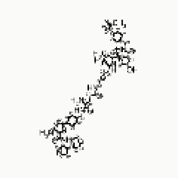 Cc1ncsc1-c1ccc(CNC(=O)[C@@H]2C[C@@H](O)CN2C(=O)C(NC(=O)CCOCCNC(=O)CCC(N)C(=O)NCc2ccc(-c3cnc(N)c(C(=O)Nc4cnccc4N4CCOCC4)n3)cc2)C(C)(C)C)cc1